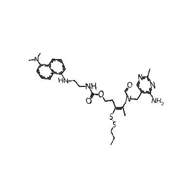 CCCSSC(CCOC(=O)NCCNc1cccc2c(N(C)C)cccc12)=C(C)N(C=O)Cc1cnc(C)nc1N